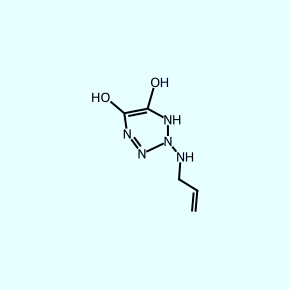 C=CCNN1N=NC(O)=C(O)N1